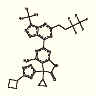 [2H]C([2H])([2H])n1ncc2c(-c3nc(N)c4c(n3)NC(=O)C4(c3nnc(C4CCC4)o3)C3CC3)nc(CCC(F)(F)C(F)(F)F)nc21